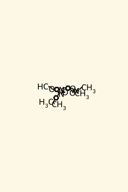 C#CCOc1ccc2c(c1)c(-c1ccc(C(C)C)cc1)nc(=O)n2Cc1ccc(OC(=O)N(C)CCCC)cc1